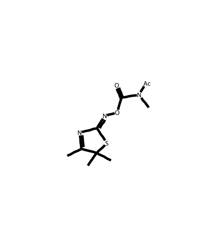 CC(=O)N(C)C(=O)ON=C1N=C(C)C(C)(C)S1